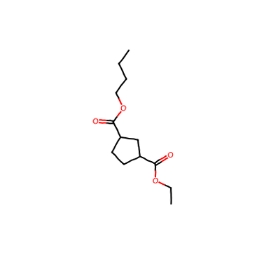 CCCCOC(=O)C1CCC(C(=O)OCC)C1